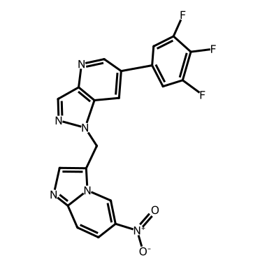 O=[N+]([O-])c1ccc2ncc(Cn3ncc4ncc(-c5cc(F)c(F)c(F)c5)cc43)n2c1